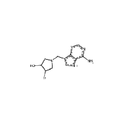 CCC1CN(Cc2c[nH]c3c(N)ncnc23)CC1O